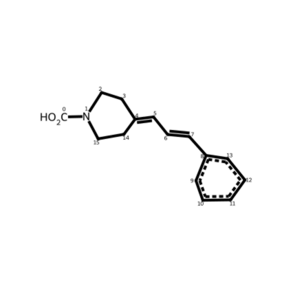 O=C(O)N1CCC(=C/C=C/c2ccccc2)CC1